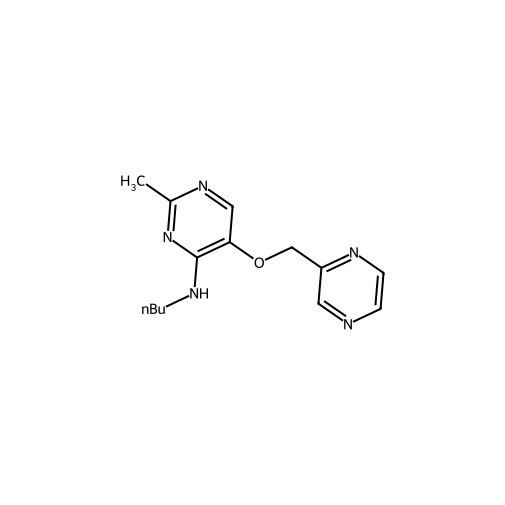 CCCCNc1nc(C)ncc1OCc1cnccn1